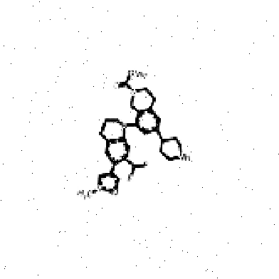 COC(=O)N1CCc2cc(C3CCNCC3)cc(N3CCCc4cc(-c5cnn(C)c5)c(C(F)F)cc43)c2C1